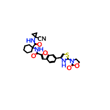 N#CC1(NC(=O)C2(NC(=O)c3cc4ccc(C5=CSC(N6CCOC6=O)N5)cc4o3)CCCCC2)CC1